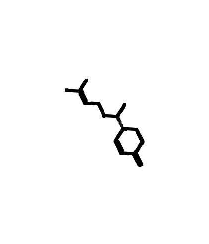 C=C1C=C[C@H](C(C)CCC=C(C)C)CC1